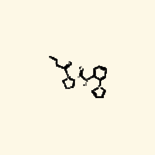 CCCC(=O)N1CCC[C@H]1C(=O)Nc1ccccc1-n1cccc1